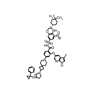 CC1(C)CCC([C@H]2COc3cc(S(=O)(=O)NC(=O)c4ccc(N5CCC6(CC5)CC(N5CCC[C@@H]5c5ccccc5C5(O)CC5)C6)cc4Oc4cnc5[nH]cc(F)c5c4)cc([N+](=O)[O-])c3N2)CC1